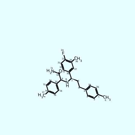 Cc1ccc(CC[C@@H](NC(C(N)=O)c2ccc(C)cc2)c2ccc(F)c(C)c2)cc1